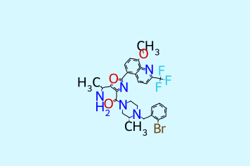 COc1ccc(-c2nc(C(=O)N3CCN(Cc4ccccc4Br)[C@H](C)C3)c([C@H](C)N)o2)c2ccc(C(F)(F)F)nc12